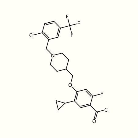 O=C(Cl)c1cc(C2CC2)c(OCC2CCN(Cc3cc(C(F)(F)F)ccc3Cl)CC2)cc1F